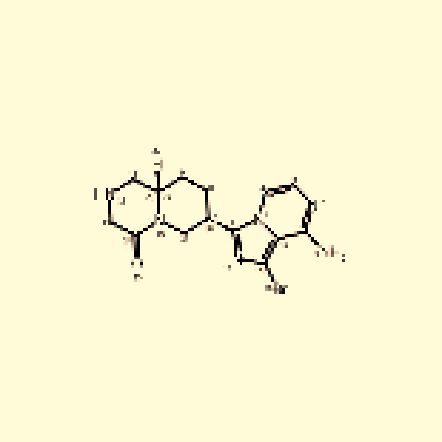 Nc1nccn2c([C@@H]3CC[C@H]4CNCC(=O)N4C3)nc(Br)c12